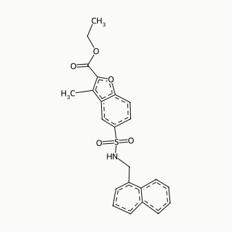 CCOC(=O)c1oc2ccc(S(=O)(=O)NCc3cccc4ccccc34)cc2c1C